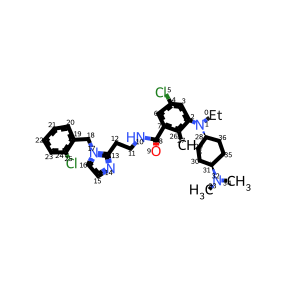 CCN(c1cc(Cl)cc(C(=O)NCCc2nccn2Cc2ccccc2Cl)c1C)[C@H]1CC[C@H](N(C)C)CC1